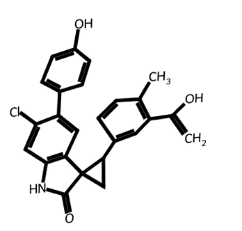 C=C(O)c1cc(C2CC23C(=O)Nc2cc(Cl)c(-c4ccc(O)cc4)cc23)ccc1C